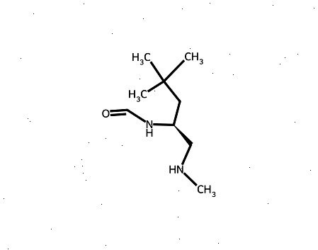 CNC[C@H](CC(C)(C)C)NC=O